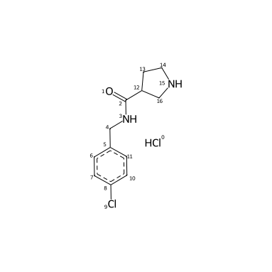 Cl.O=C(NCc1ccc(Cl)cc1)C1CCNC1